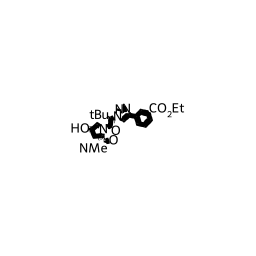 CCOC(=O)c1cccc(-c2cn([C@H](C(=O)N3C[C@H](O)C[C@H]3C(=O)NC)C(C)(C)C)nn2)c1